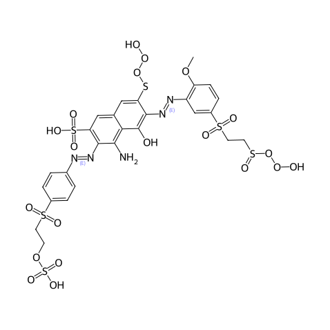 COc1ccc(S(=O)(=O)CCS(=O)OOO)cc1/N=N/c1c(SOOO)cc2cc(S(=O)(=O)O)c(/N=N/c3ccc(S(=O)(=O)CCOS(=O)(=O)O)cc3)c(N)c2c1O